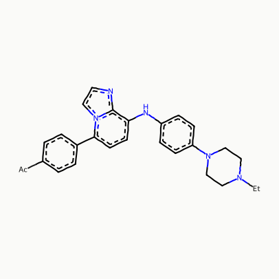 CCN1CCN(c2ccc(Nc3ccc(-c4ccc(C(C)=O)cc4)n4ccnc34)cc2)CC1